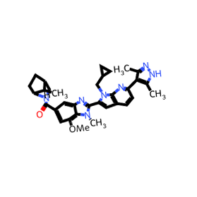 COc1cc(C(=O)N2CC3CCC2[C@@H]3C)cc2nc(-c3cc4ccc(-c5c(C)n[nH]c5C)nc4n3CC3CC3)n(C)c12